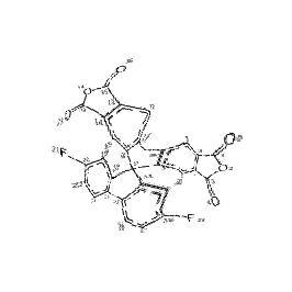 O=C1OC(=O)c2cc3c(cc21)-c1cc2c(cc1C31c3cc(F)ccc3-c3ccc(F)cc31)C(=O)OC2=O